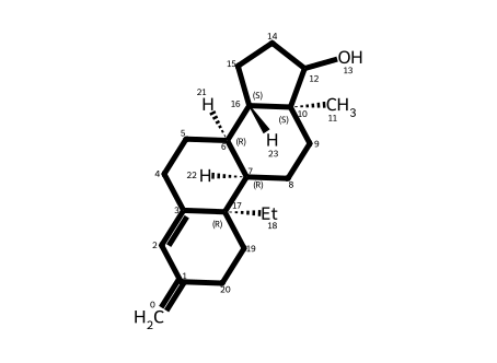 C=C1C=C2CC[C@@H]3[C@@H](CC[C@]4(C)C(O)CC[C@@H]34)[C@@]2(CC)CC1